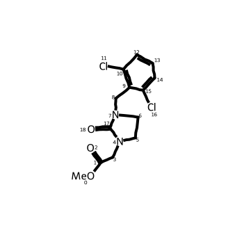 COC(=O)CN1CCN(Cc2c(Cl)cccc2Cl)C1=O